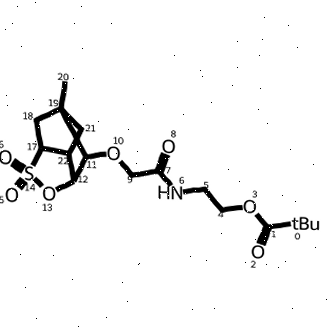 CC(C)(C)C(=O)OCCNC(=O)COC1C2OS(=O)(=O)C3CC1(C)CC23